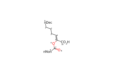 CCCCCCCCCCCCC/C=C(\OC(=O)CCCCCCCCC)C(=O)O